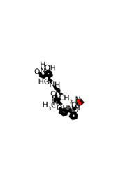 CCN(CCCNC[C@@H](O)c1ccc(O)c2[nH]c(=O)ccc12)C(=O)c1cc(COc2cccc(C(NC(=O)O[C@H]3CN4CCC3CC4)c3ccccc3)c2)n(C)n1